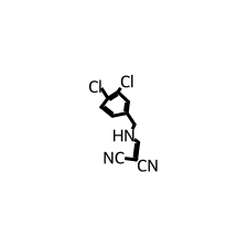 N#CC(C#N)=CNCc1ccc(Cl)c(Cl)c1